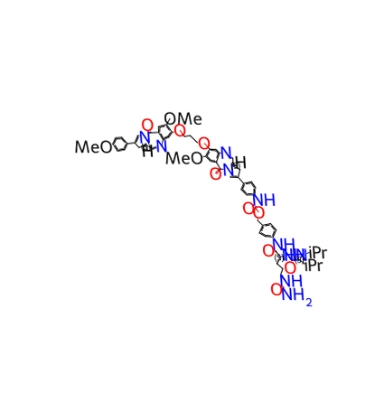 COc1ccc(C2=CN3C(=O)c4cc(OC)c(OCCCOc5cc6c(cc5OC)C(=O)N5C=C(c7ccc(NC(=O)OCc8ccc(NC(=O)[C@H](CCCNC(N)=O)NC(=O)[C@@H](NC(C)C)C(C)C)cc8)cc7)C[C@H]5C=N6)cc4N=C[C@@H]3C2)cc1